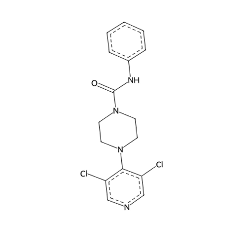 O=C(Nc1ccccc1)N1CCN(c2c(Cl)cncc2Cl)CC1